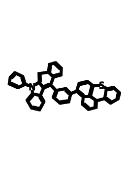 c1ccc(-n2c3ccccc3c3c(-c4cccc(-c5ccc6c7c(cccc57)-c5ccccc5S6)c4)c4ccccc4cc32)cc1